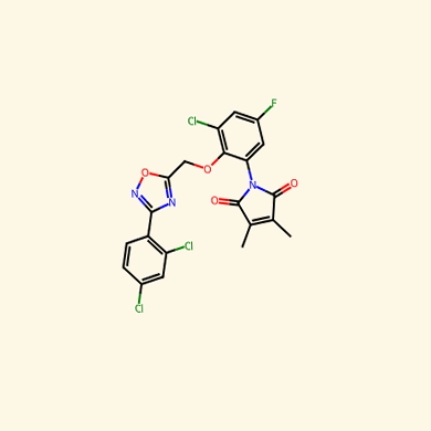 CC1=C(C)C(=O)N(c2cc(F)cc(Cl)c2OCc2nc(-c3ccc(Cl)cc3Cl)no2)C1=O